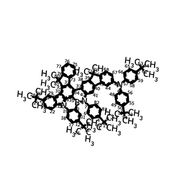 CC(C)(C)c1ccc(N2B3c4cc(C(C)(C)C)ccc4-n4c5ccc(C(C)(C)C)cc5c5c6c(c(c3c54)-c3cc4c(cc32)-c2cc(N(c3ccc(C(C)(C)C)cc3)c3ccc(C(C)(C)C)cc3)ccc2C4(C)C)-c2ccccc2C6(C)C)cc1